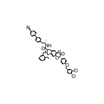 CCc1ccccc1CN1Cc2cc3c(cc2CC1C(=O)N[C@@H](C)Cc1ccc(-c2ccc(C#N)cc2)cc1)N(C)C(=O)[C@H](c1ccc(OCc2ccc(Cl)c(Cl)c2)cc1)O3